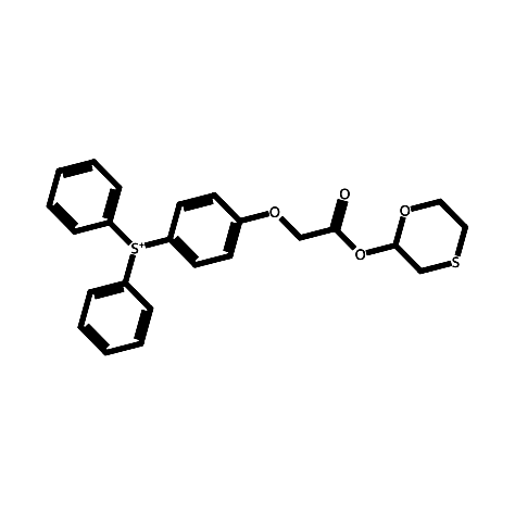 O=C(COc1ccc([S+](c2ccccc2)c2ccccc2)cc1)OC1CSCCO1